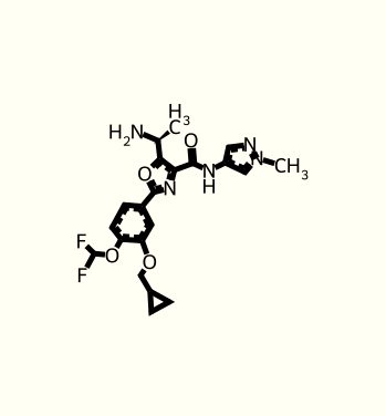 C[C@H](N)c1oc(-c2ccc(OC(F)F)c(OCC3CC3)c2)nc1C(=O)Nc1cnn(C)c1